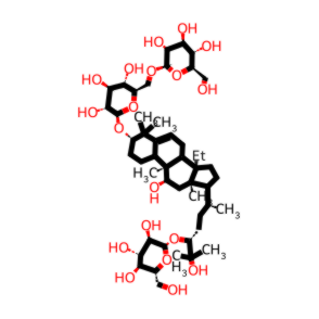 CC[C@@]12CCC([C@H](C)CC[C@@H](O[C@@H]3O[C@H](CO)[C@@H](O)[C@H](O)[C@H]3O)C(C)(C)O)[C@@]1(C)C[C@@H](O)[C@@]1(C)C3CC[C@H](O[C@@H]4O[C@H](CO[C@@H]5O[C@H](CO)[C@@H](O)[C@H](O)[C@H]5O)[C@@H](O)[C@H](O)[C@H]4O)C(C)(C)C3=CCC12